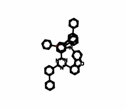 c1ccc(-c2cccc(-c3nc(-c4cccc(-c5ccccc5)c4)nc(-c4cccc5oc6ccc(-n7c8ccc(-c9ccccc9)cc8c8cc(-c9ccccc9)ccc87)cc6c45)n3)c2)cc1